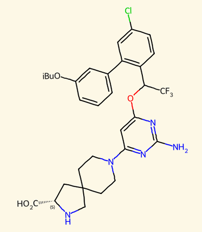 CC(C)COc1cccc(-c2cc(Cl)ccc2C(Oc2cc(N3CCC4(CC3)CN[C@H](C(=O)O)C4)nc(N)n2)C(F)(F)F)c1